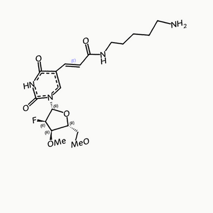 COC[C@H]1O[C@@H](n2cc(/C=C/C(=O)NCCCCCN)c(=O)[nH]c2=O)[C@H](F)[C@@H]1OC